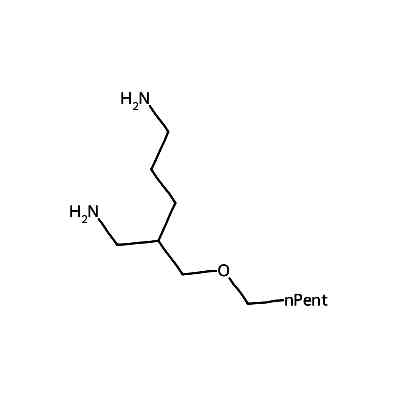 CCCCCCOCC(CN)CCCN